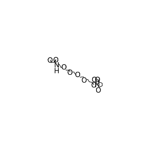 COCC(=O)NCCOCCOCCOCCOCCC(=O)ON1C(=O)CCC1=O